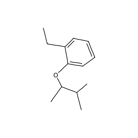 CCc1ccccc1OC(C)C(C)C